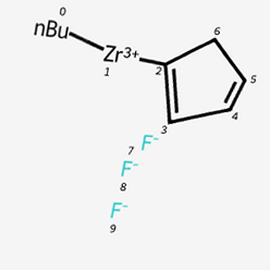 CCC[CH2][Zr+3][C]1=CC=CC1.[F-].[F-].[F-]